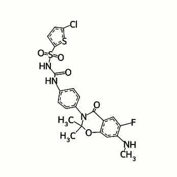 CNc1cc2c(cc1F)C(=O)N(c1ccc(NC(=O)NS(=O)(=O)c3ccc(Cl)s3)cc1)C(C)(C)O2